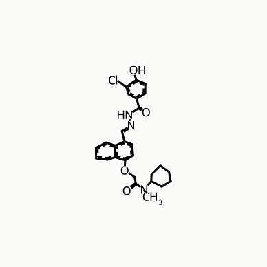 CN(C(=O)COc1ccc(/C=N/NC(=O)c2ccc(O)c(Cl)c2)c2ccccc12)C1CCCCC1